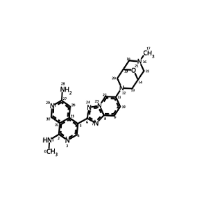 CNc1ncc(-c2nc3ccc(N4CC5CN(C)CC(C4)O5)cn3n2)c2cc(N)ncc12